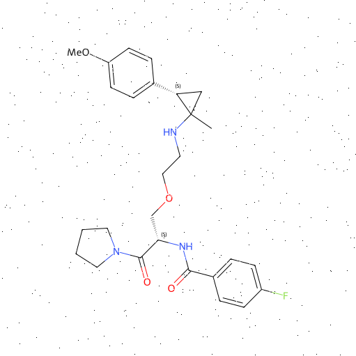 COc1ccc([C@@H]2CC2(C)NCCOC[C@H](NC(=O)c2ccc(F)cc2)C(=O)N2CCCC2)cc1